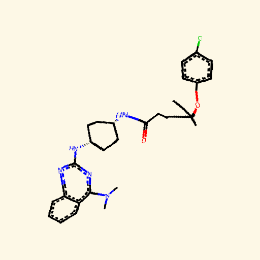 CN(C)c1nc(N[C@H]2CC[C@@H](NC(=O)CCC(C)(C)Oc3ccc(Cl)cc3)CC2)nc2ccccc12